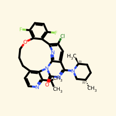 CC(C)c1nccc2c1-n1c(=O)nc(N3C[C@@H](C)CC[C@@H]3C)c3cc(Cl)c(nc31)-c1c(F)ccc(F)c1OCCC2